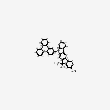 CC1(C)c2cc(C#N)ccc2-c2cc3c4ccccc4n(-c4ccc5c6ccccc6c6ccccc6c5c4)c3cc21